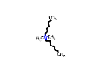 CCCCCCC[N+](C)(C)CCCCCCC